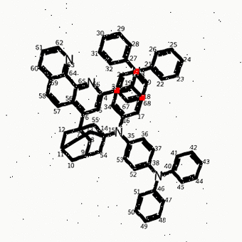 c1ccc(-c2cc(C34CC5CC(C3)CC(N(c3ccc(N(c6ccccc6)c6ccccc6)cc3)c3ccc(N(c6ccccc6)c6ccccc6)cc3)(C5)C4)c3ccc4cccnc4c3n2)cc1